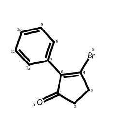 O=C1CCC(Br)=C1c1ccccc1